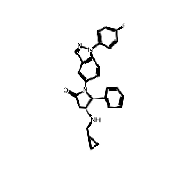 O=C1C[C@H](NCC2CC2)[C@H](c2ccccc2)N1c1ccc2c(cnn2-c2ccc(F)cc2)c1